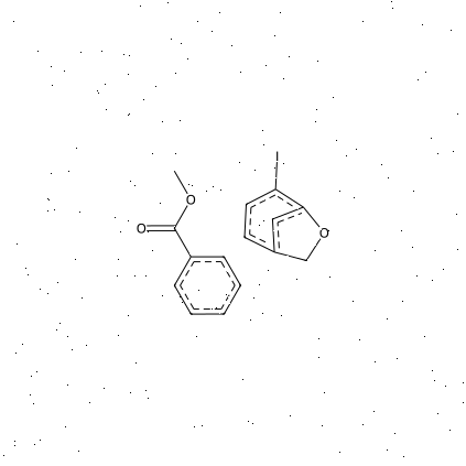 COC(=O)c1ccccc1.Ic1ccc2cc1OC2